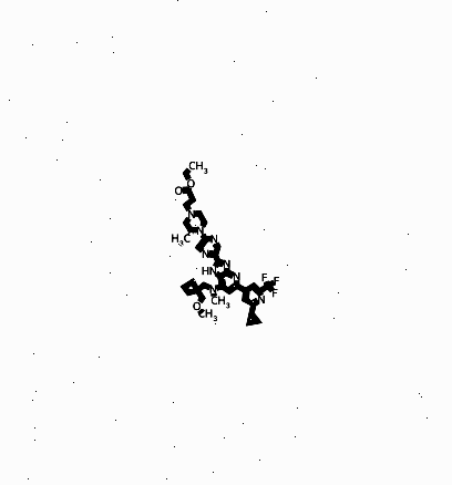 CCOC(=O)CCN1CCN(c2cnc(-c3nc4nc(-c5cc(C6CC6)nc(C(F)(F)F)c5)cc(N(C)CC5(COC)CCC5)c4[nH]3)cn2)[C@H](C)C1